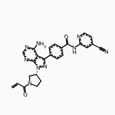 C=CC(=O)N1CC[C@@H](n2nc(-c3ccc(C(=O)Nc4cc(C#N)ccn4)cc3)c3c(N)ncnc32)C1